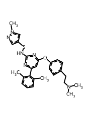 Cc1cccc(C)c1-c1cc(Oc2ccc(CCN(C)C)cc2)nc(NSc2cnn(C)c2)n1